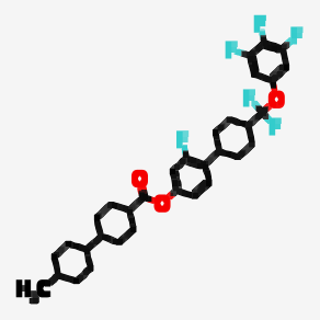 CC1CCC(C2CCC(C(=O)Oc3ccc(C4CCC(C(F)(F)Oc5cc(F)c(F)c(F)c5)CC4)c(F)c3)CC2)CC1